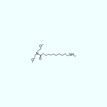 COCCN(CCOC)C(=O)CCCCCCCCCC[SiH3]